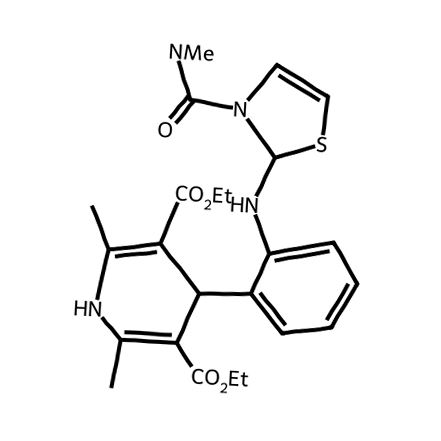 CCOC(=O)C1=C(C)NC(C)=C(C(=O)OCC)C1c1ccccc1NC1SC=CN1C(=O)NC